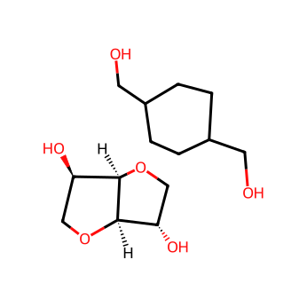 OCC1CCC(CO)CC1.O[C@@H]1CO[C@H]2[C@@H]1OC[C@@H]2O